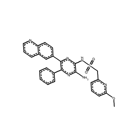 COc1cccc(CS(=O)(=O)Nc2nc(-c3ccc4ncccc4c3)c(-c3ccccc3)nc2N)n1